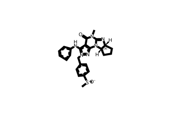 CN1C(=O)c2c(nn(Cc3ccc([S+](C)[O-])cc3)c2Nc2ccccc2)N2C1=N[C@@H]1CCC[C@@H]12